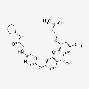 Cc1cc(OCCN(C)C)c2oc3cc(Oc4ccc(NCC(=O)NC5CCCC5)nc4)ccc3c(=O)c2c1